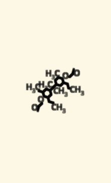 CCCC1CC(C(C)(C)C2CC(CC)C(OCC3CO3)C(CCC)C2)CC(C)C1OCC1CO1